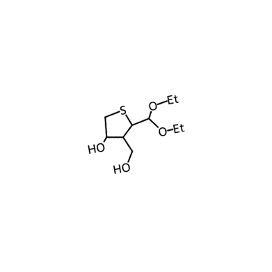 CCOC(OCC)C1SCC(O)C1CO